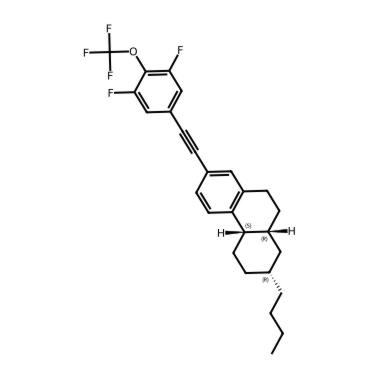 CCCC[C@@H]1CC[C@@H]2c3ccc(C#Cc4cc(F)c(OC(F)(F)F)c(F)c4)cc3CC[C@@H]2C1